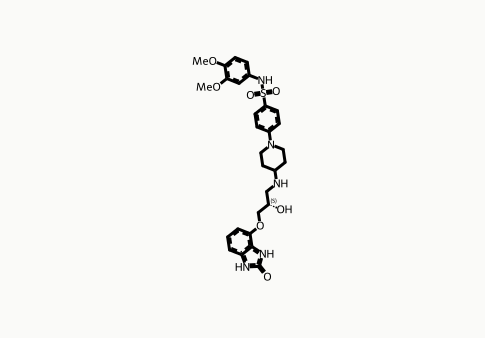 COc1ccc(NS(=O)(=O)c2ccc(N3CCC(NC[C@H](O)COc4cccc5[nH]c(=O)[nH]c45)CC3)cc2)cc1OC